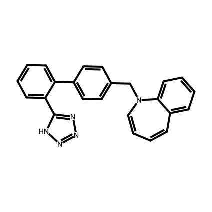 C1=Cc2ccccc2N(Cc2ccc(-c3ccccc3-c3nnn[nH]3)cc2)C=C1